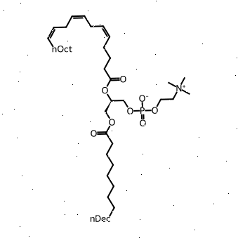 CCCCCCCC/C=C\C/C=C\C/C=C\CCCC(=O)O[C@H](COC(=O)CCCCCCCCCCCCCCCCC)COP(=O)([O-])OCC[N+](C)(C)C